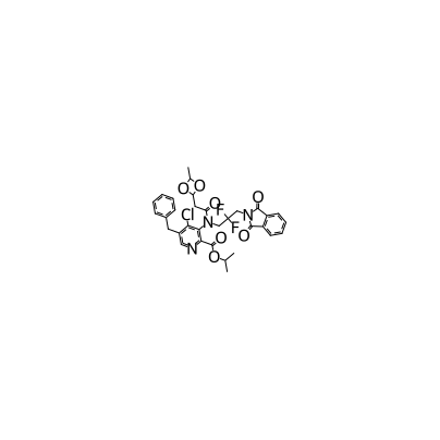 CC(C)OC(=O)c1ncc(Cc2ccccc2)c(Cl)c1N(CC(F)(F)CN1C(=O)c2ccccc2C1=O)C(=O)CC1OC(C)O1